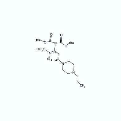 CC(C)(C)OC(=O)N(C(=O)OC(C)(C)C)c1cc(N2CCN(CCC(F)(F)F)CC2)cnc1C(=O)O